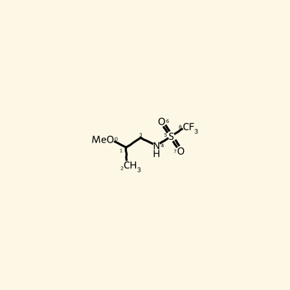 COC(C)CNS(=O)(=O)C(F)(F)F